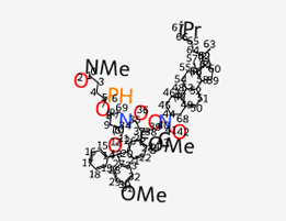 CNC(=O)CCC(=P)O[C@@H]1C[C@@H](COC(c2ccccc2)(c2ccc(OC)cc2)c2ccc(OC)cc2)N(C(=O)CCON(C(=O)C(F)(F)F)C2CC[C@@]3(C)C(=CCC4C3CC[C@@]3(C)C4CC[C@@H]3[C@H](C)CCCC(C)C)C2)C1